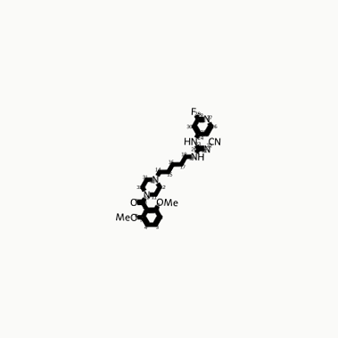 COc1cccc(OC)c1C(=O)N1CCN(CCCCCNC(=NC#N)Nc2ccnc(F)c2)CC1